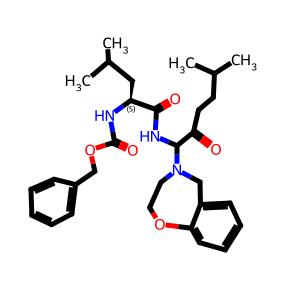 CC(C)CCC(=O)C(NC(=O)[C@H](CC(C)C)NC(=O)OCc1ccccc1)N1CCOc2ccccc2C1